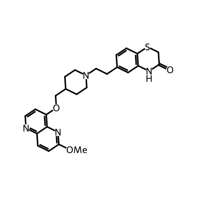 COc1ccc2nccc(OCC3CCN(CCc4ccc5c(c4)NC(=O)CS5)CC3)c2n1